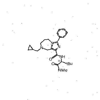 CNC(=O)[C@@H](NC(=O)c1nc(-c2ccccc2)n2c1CN(CC1CC1)CCC2)C(C)(C)C